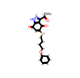 CNC(=O)c1n[nH]c2c1C(=O)C(SCCCCOc1ccccc1)=CC2=O